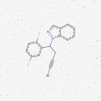 Fc1ccc(F)c(C(CC#CBr)n2ncc3ccccc32)c1